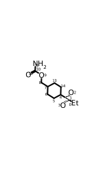 CCS(=O)(=O)C1CCC(COC(N)=O)CC1